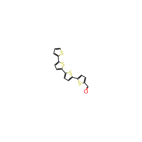 O=Cc1ccc(-c2ccc(-c3ccc(-c4cccs4)s3)s2)s1